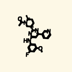 COc1cc(F)cc(Nc2cc(-c3cccnc3)nc([C@@H]3CC[C@H](C)N(C(C)=O)C3)n2)c1